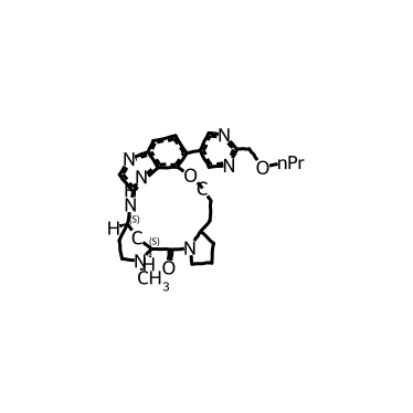 CCCOCc1ncc(-c2ccc3ncc4nc3c2OCCCC2CCCN2C(=O)[C@@H]2C[C@H](CCN2C)N4)cn1